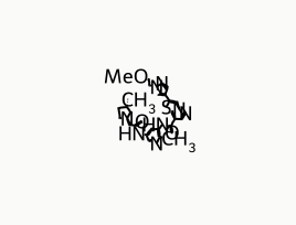 COCCn1cc(-c2cn3ncc(C(=O)Nc4cc(NC(=O)CN5CC[C@H](C)C5)cnc4C)c3s2)cn1